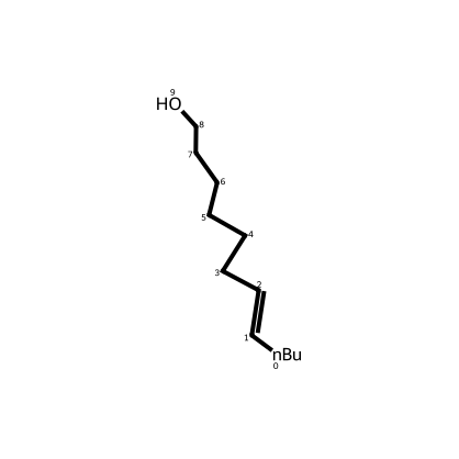 CCCCC=CCCCCCCO